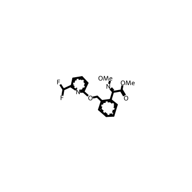 CON=C(C(=O)OC)c1ccccc1COc1cccc(C(F)F)n1